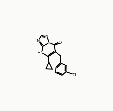 O=c1c(Cc2cccc(Cl)c2)c(C2CC2)[nH]c2ncnn12